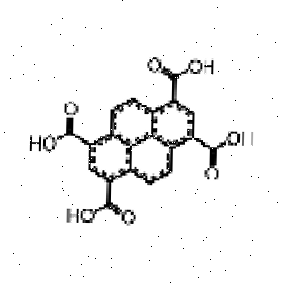 O=C(O)c1cc(C(=O)O)c2ccc3c(C(=O)O)cc(C(=O)O)c4ccc1c2c43